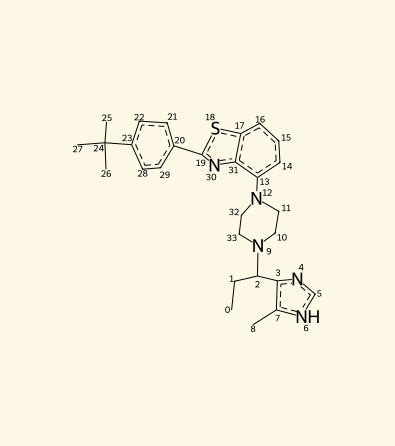 CCC(c1nc[nH]c1C)N1CCN(c2cccc3sc(-c4ccc(C(C)(C)C)cc4)nc23)CC1